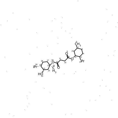 CC1CCC(C(C)C)C(OC(=O)CCC(=O)O[C@]2(C)CC[C@@H](C(C)C)[C@H](O)C2)C1